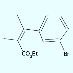 CCOC(=O)/C(C)=C(/C)c1cccc(Br)c1